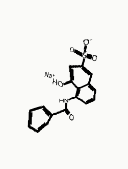 O=C(Nc1cccc2cc(S(=O)(=O)[O-])cc(O)c12)c1ccccc1.[Na+]